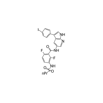 CCCS(=O)(=O)Nc1ccc(F)c(C(=O)Nc2cnc3[nH]cc(-c4ccc(I)cc4)c3c2)c1F